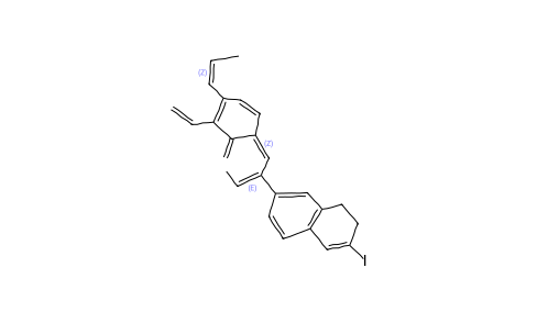 C=Cc1c(/C=C\C)cc/c(=C/C(=C\C)c2ccc3c(c2)CCC(I)=C3)c1=C